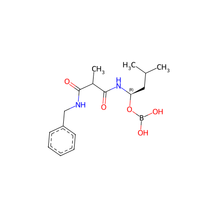 CC(C)C[C@H](NC(=O)C(C)C(=O)NCc1ccccc1)OB(O)O